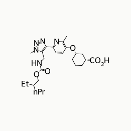 CCCC(CC)COC(=O)NCc1c(-c2ccc(O[C@H]3CCC[C@H](C(=O)O)C3)c(C)n2)nnn1C